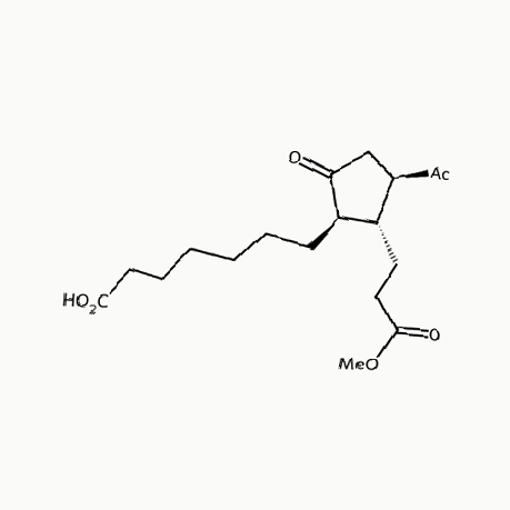 COC(=O)CC[C@H]1[C@H](C(C)=O)CC(=O)[C@@H]1CCCCCCC(=O)O